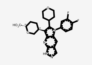 O=C(O)[C@@H]1CC[C@@H](c2c(C3CCOCC3)n(-c3ccc(F)c(F)c3)c3cc4cn[nH]c4nc23)CO1